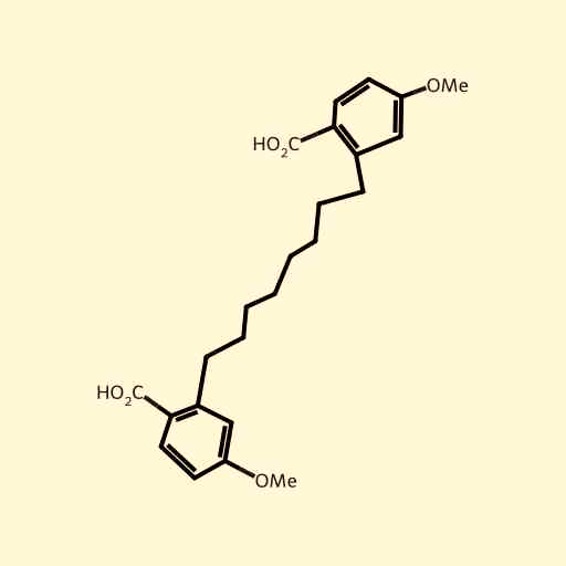 COc1ccc(C(=O)O)c(CCCCCCCCc2cc(OC)ccc2C(=O)O)c1